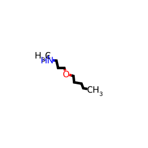 CCCCCOCCCNC